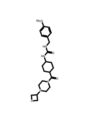 COc1ccc(CNC(=O)NC2CCC(C(=O)N3CCN(C4COC4)CC3)CC2)cc1